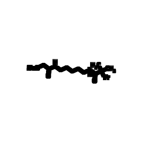 COCC(=O)NCCCCCNC(=O)C(C)(C)C(C)C